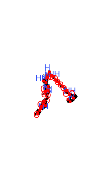 COc1ccc(C2=CN3C(=O)c4cc(C)c(OCCCOc5cc6c(cc5OC)C(=O)N5C=C(c7ccc(NC(=O)[C@H](C)NC(=O)[C@@H](NC(=O)CCOCCOCCOCCOCCNC(=O)CCC(=O)N8Cc9ccccc9CCc9ccccc98)C(C)C)cc7)CC5C=N6)cc4N=CC3C2)cc1